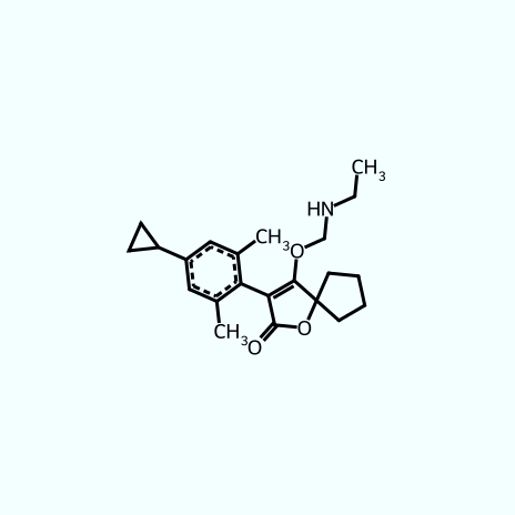 CCNCOC1=C(c2c(C)cc(C3CC3)cc2C)C(=O)OC12CCCC2